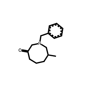 CC1CCCC(=O)CN(Cc2ccccc2)C1